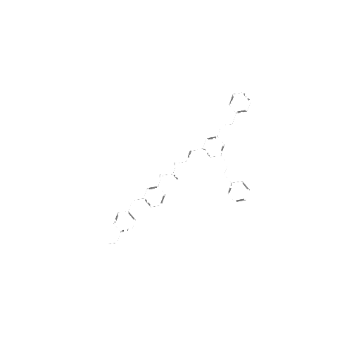 O=C(O)Cc1ccc(Oc2cccc(NC(=S)N/N=C/c3cc(OCc4ccccc4)cc(OCc4ccccc4)c3)c2)cc1